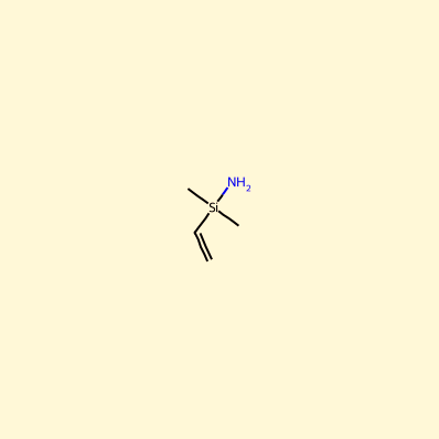 C=C[Si](C)(C)N